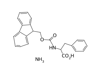 N.O=C(NC(Cc1ccccc1)C(=O)O)OCC1c2ccccc2-c2ccccc21